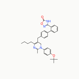 CCCCC1=C(Cc2ccc(-c3ccccc3-c3noc(=O)[nH]3)cc2)CN(c2ccc(OC(C)(C)C)cc2)C(C)=N1